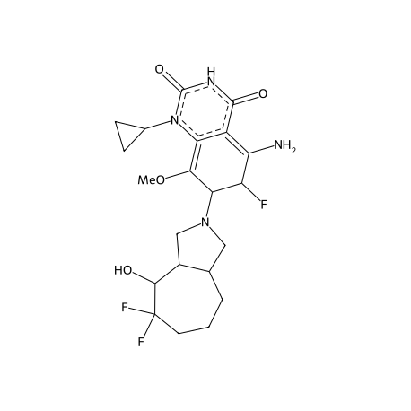 COC1=c2c(c(=O)[nH]c(=O)n2C2CC2)=C(N)C(F)C1N1CC2CCCC(F)(F)C(O)C2C1